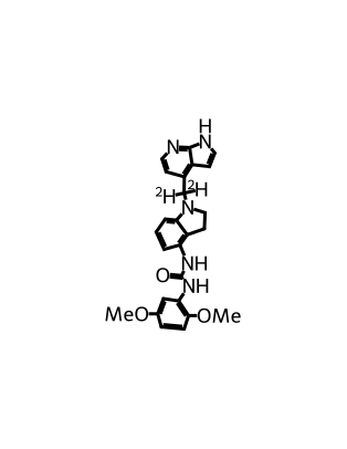 [2H]C([2H])(c1ccnc2[nH]ccc12)N1CCc2c(NC(=O)Nc3cc(OC)ccc3OC)cccc21